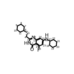 O=c1[nH]c(CSC2CCCCC2)nc2cc(NC3CCCCC3)cc(F)c12